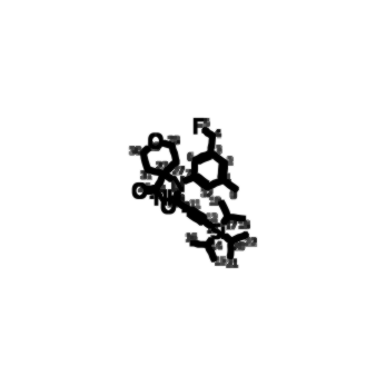 Cc1cc(CF)cc(N(C(=O)C#C[Si](C(C)C)(C(C)C)C(C)C)C2(C(N)=O)CCOCC2)c1